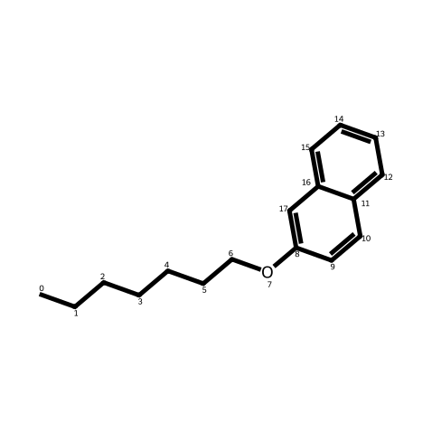 CCCCCCCOc1ccc2ccccc2c1